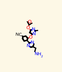 Cc1nc(Oc2cc(C#N)ccc2-c2ncc(CCN)cn2)cc(OC2COC2)n1